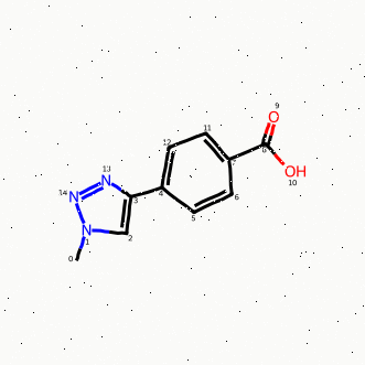 Cn1cc(-c2ccc(C(=O)O)cc2)nn1